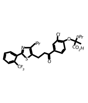 CCCC(C)(Oc1ccc(C(=O)CCc2sc(-c3ccccc3C(F)(F)F)nc2C(C)C)cc1Cl)C(=O)O